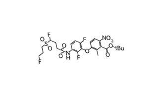 Cc1c(Oc2c(F)ccc(NS(=O)(=O)CCC(F)S(=O)(=O)CCCF)c2F)ccc([N+](=O)[O-])c1C(=O)OC(C)(C)C